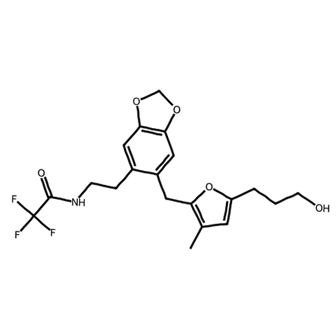 Cc1cc(CCCO)oc1Cc1cc2c(cc1CCNC(=O)C(F)(F)F)OCO2